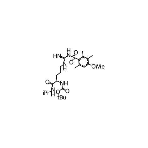 COc1cc(C)c(S(=O)(=O)NC(=N)NCCCC(NC(=O)OC(C)(C)C)C(=O)NC(C)C)c(C)c1C